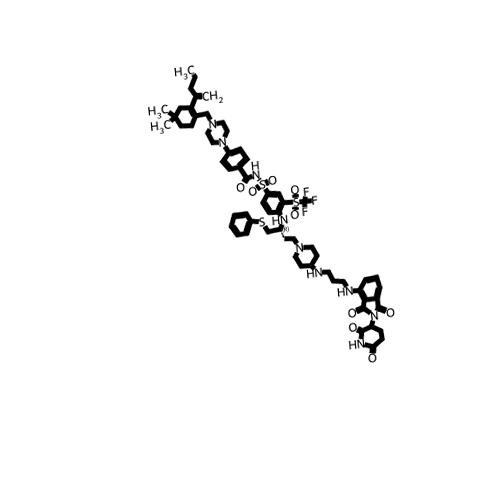 C=C(CCC)C1=C(CN2CCN(c3ccc(C(=O)NS(=O)(=O)c4ccc(N[C@H](CCN5CCC(NCCCNc6cccc7c6C(=O)N(C6CCC(=O)NC6=O)C7=O)CC5)CSc5ccccc5)c(S(=O)(=O)C(F)(F)F)c4)cc3)CC2)CCC(C)(C)C1